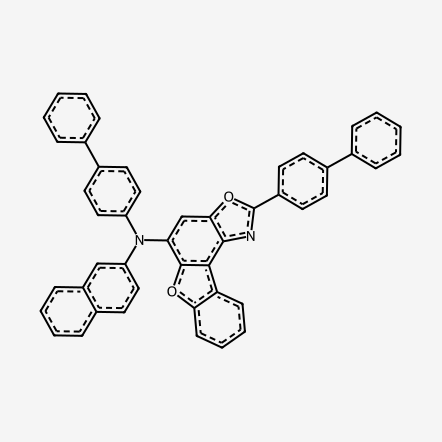 c1ccc(-c2ccc(-c3nc4c(cc(N(c5ccc(-c6ccccc6)cc5)c5ccc6ccccc6c5)c5oc6ccccc6c54)o3)cc2)cc1